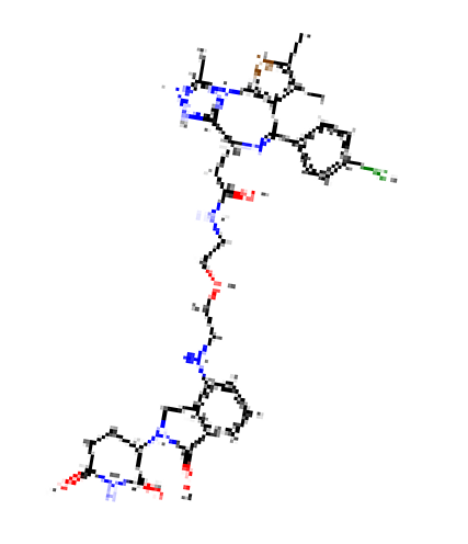 Cc1sc2c(c1C)C(c1ccc(Cl)cc1)=N[C@@H](CC(=O)NCCOCCNc1cccc3c1CN(C1CCC(=O)NC1=O)C3=O)c1nnc(C)n1-2